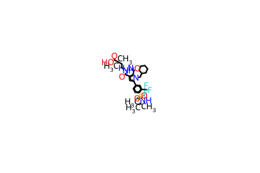 CC(C)(C)NS(=O)(=O)c1ccc(-c2cc(C(=O)NCCC(C)(C)C(=O)O)c(C(N)=O)n2CC2CCCCC2)cc1C(F)(F)F